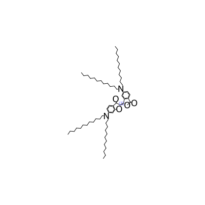 CCCCCCCCCCCCN(CCCCCCCCCCCC)c1ccc2c(c1)O/C(=C1\OC(=O)c3ccc(N(CCCCCCCCCCCC)CCCCCCCCCCCC)cc31)C2=O